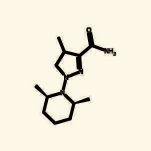 CC1CN(N2[C@H](C)CCC[C@@H]2C)N=C1C(N)=O